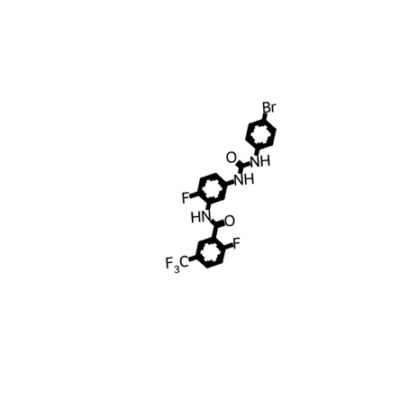 O=C(Nc1ccc(Br)cc1)Nc1ccc(F)c(NC(=O)c2cc(C(F)(F)F)ccc2F)c1